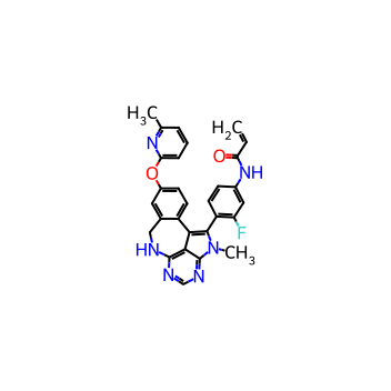 C=CC(=O)Nc1ccc(-c2c3c4c(ncnc4n2C)NCc2cc(Oc4cccc(C)n4)ccc2-3)c(F)c1